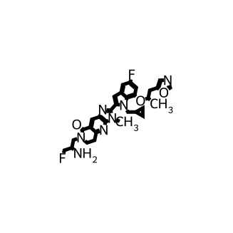 CC(Cc1cnco1)Oc1cc(F)cc2cc(-c3nc4cc5c(nc4n3C)CCN(CC(N)CF)C5=O)n(CC3CC3)c12